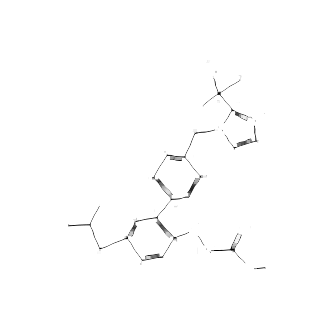 COC(=O)NSc1ccc(CC(C)C)cc1-c1ccc(Cn2ccnc2C(C)(C)O)cc1